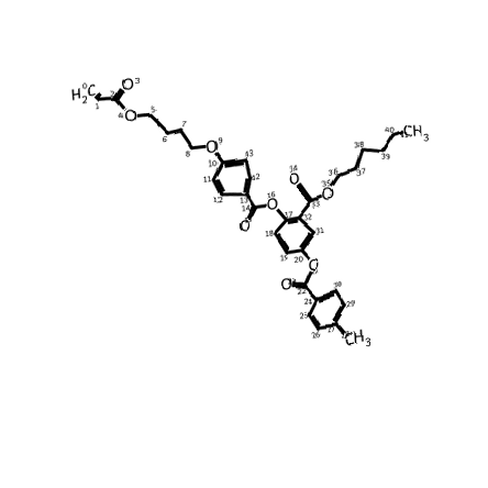 C=CC(=O)OCCCCOc1ccc(C(=O)Oc2ccc(OC(=O)c3ccc(C)cc3)cc2C(=O)OCCCCCC)cc1